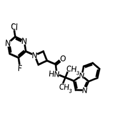 CC(C)(NC(=O)C1CN(c2nc(Cl)ncc2F)C1)c1cnc2ccccn12